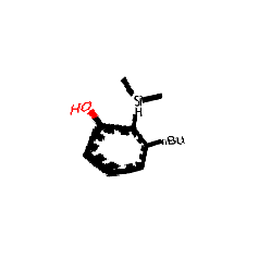 CCCCc1cccc(O)c1[SiH](C)C